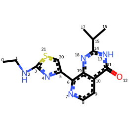 CCNc1nc(-c2nccc3c(=O)[nH]c(C(C)C)nc23)cs1